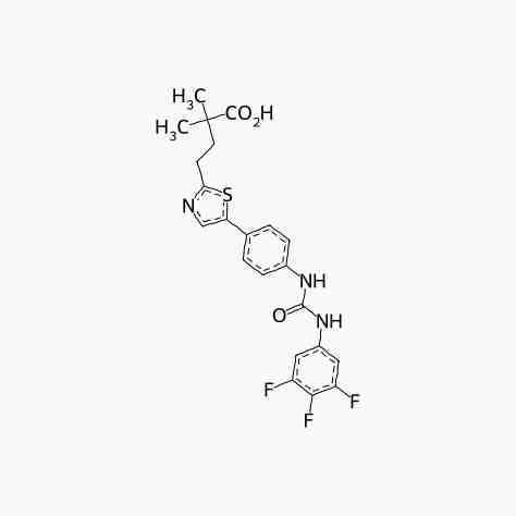 CC(C)(CCc1ncc(-c2ccc(NC(=O)Nc3cc(F)c(F)c(F)c3)cc2)s1)C(=O)O